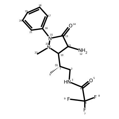 C[C@@H](CNC(=O)C(F)(F)F)C1C(N)C(=O)N(c2ccccc2)N1C